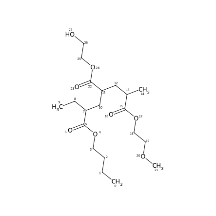 CCCCOC(=O)C(CC)CC(CC(C)C(=O)OCCOC)C(=O)OCCO